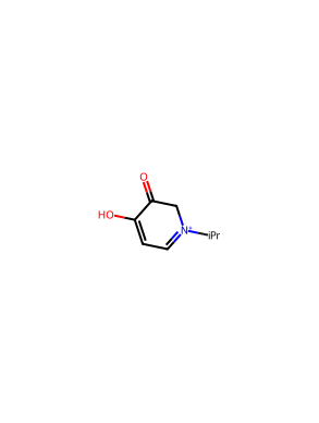 CC(C)[N+]1=CC=C(O)C(=O)C1